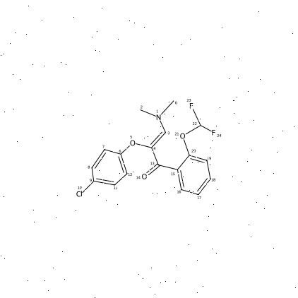 CN(C)/C=C(\Oc1ccc(Cl)cc1)C(=O)c1ccccc1OC(F)F